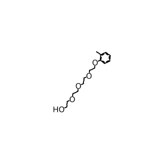 Cc1ccccc1OCCOCCOCCOCCO